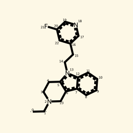 [CH2][CH]N1CCc2c(c3ccccc3n2CCc2cncc(F)c2)C1